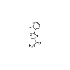 Cc1ncccc1-c1nc(C(N)=O)co1